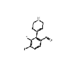 O=Nc1ccc(F)c(F)c1C1=CCNCC1